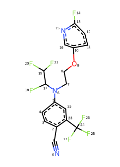 N#Cc1ccc(N(CCOc2ccc(F)nc2)C(F)C(F)F)cc1C(F)(F)F